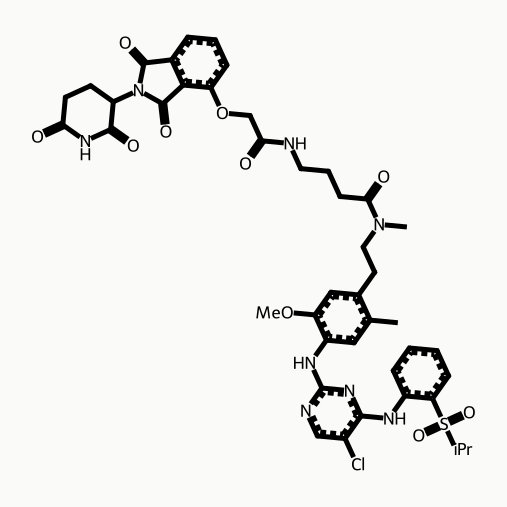 COc1cc(CCN(C)C(=O)CCCNC(=O)COc2cccc3c2C(=O)N(C2CCC(=O)NC2=O)C3=O)c(C)cc1Nc1ncc(Cl)c(Nc2ccccc2S(=O)(=O)C(C)C)n1